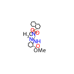 COC(=O)c1cccc2nc(CN(C)S(=O)(=O)c3cccc4ccccc34)[nH]c12